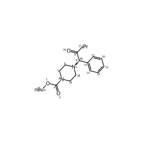 CCCCOC(=O)N1CCN([C@@H](C(=O)C(C)C)c2ccccc2)CC1